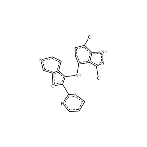 Clc1ccc(Nc2c(-c3ncccn3)oc3cnccc23)c2c(Cl)n[nH]c12